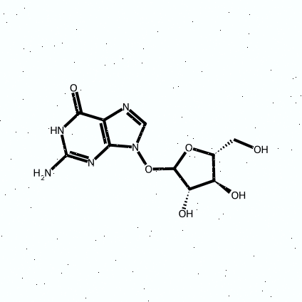 Nc1nc2c(ncn2OC2O[C@H](CO)[C@@H](O)[C@@H]2O)c(=O)[nH]1